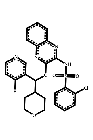 O=S(=O)(Nc1nc2ccccc2nc1OC(c1cnccc1F)C1CCOCC1)c1ccccc1Cl